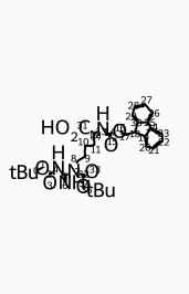 CC(C)(C)OC(=O)NC(=N)N(CCCC[C@H](NC(=O)OCC1c2ccccc2-c2ccccc21)C(=O)O)C(=O)OC(C)(C)C